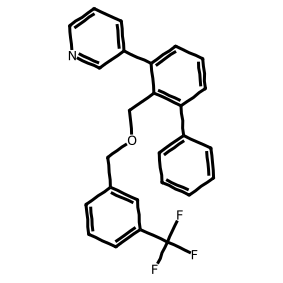 FC(F)(F)c1cccc(COCc2c(-c3ccccc3)cccc2-c2cccnc2)c1